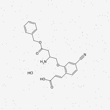 Cl.N#Cc1ccc(C=CC(=O)O)c(OCC(N)CC(=O)OCc2ccccc2)c1